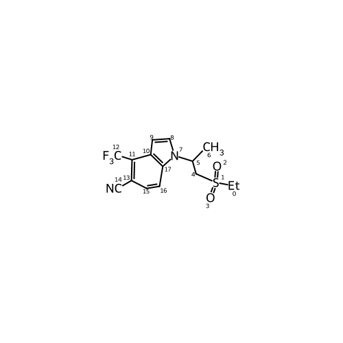 CCS(=O)(=O)CC(C)n1ccc2c(C(F)(F)F)c(C#N)ccc21